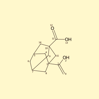 C=C(O)C12CC3CC(C1)CC(C(=O)O)(C3)C2